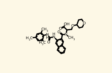 Cc1cc(C)c(NC(=O)Nc2cc3ccccc3cc2C(=O)N(C)C(COC2CCOCC2)C(=O)O)c(C)c1